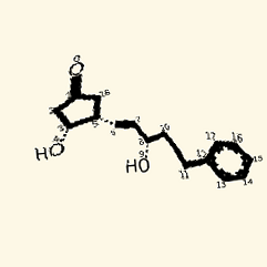 O=C1C[C@@H](O)[C@@H](C=C[C@@H](O)CCc2ccccc2)C1